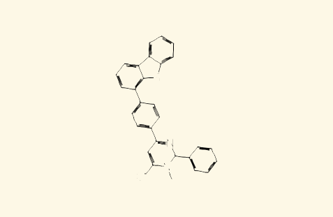 CN1C(Cl)=CC(c2ccc(-c3cccc4c3sc3ccccc34)cc2)=NC1c1ccccc1